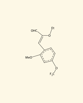 CCOC(C=O)=Cc1ccc(OC(F)(F)F)cc1OC